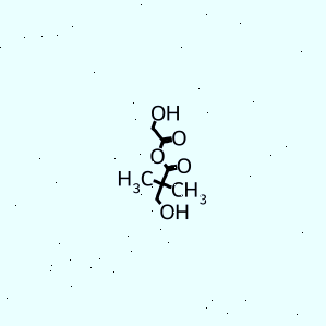 CC(C)(CO)C(=O)OC(=O)CO